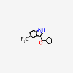 O=C(c1c[nH]c2ccc(C(F)(F)F)cc12)C1CCCC1